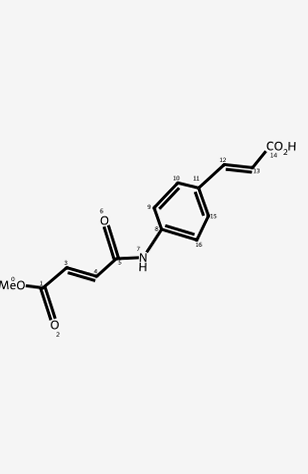 COC(=O)/C=C/C(=O)Nc1ccc(/C=C/C(=O)O)cc1